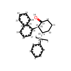 C[Si](C)(c1ccccc1)[C@H]1CCCC(=O)[C@@H]1c1cccc2ccccc12